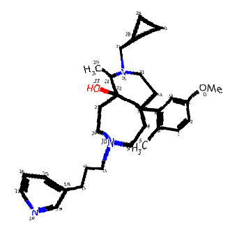 COc1ccc(C)c(C23CCN(CCCc4cccnc4)CCC2(O)C(C)N(CC2CC2)CC3)c1